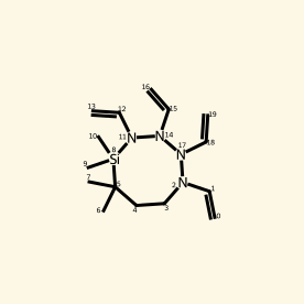 C=CN1CCC(C)(C)[Si](C)(C)N(C=C)N(C=C)N1C=C